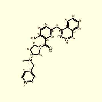 CN(Cc1ccncc1)[C@@H]1CCN(C(=O)c2cc(Cc3nncc4ccccc34)ccc2F)C1